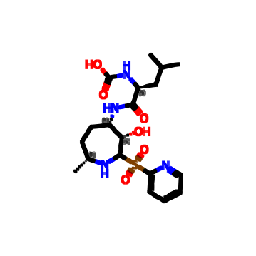 CC(C)C[C@H](NC(=O)O)C(=O)N[C@H]1CC[C@@H](C)NC(S(=O)(=O)c2ccccn2)[C@H]1O